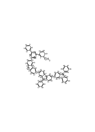 CC1C=C(c2nc(-c3ccccc3)nc(-c3ccc4oc5ccc(-c6ccc7c8cc(-c9ccc%10c(c9)c9ccccc9n%10-c9ccccc9)ccc8n(-c8ccccc8)c7c6)cc5c4c3)n2)C=CC1